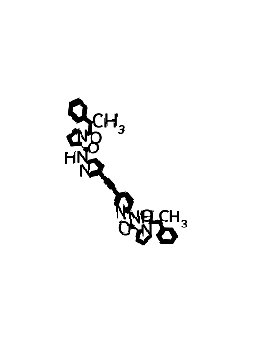 C[C@@H](C(=O)N1CCC[C@H]1C(=O)Nc1ccc(C#Cc2ccc(NC(=O)[C@@H]3CCCN3C(=O)[C@H](C)c3ccccc3)nc2)cn1)c1ccccc1